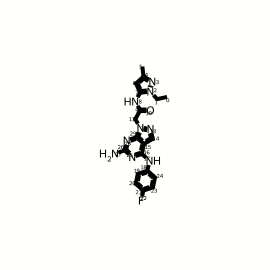 CCn1nc(C)cc1NC(=O)Cn1ncc2c(Nc3ccc(F)cc3)nc(N)nc21